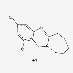 Cl.Clc1cc(Cl)c2c(c1)N=C1CCCCCN1C2